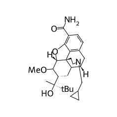 COC1[C@@H]([C@](C)(O)C(C)(C)C)CC2[C@H]3Cc4ccc(C(N)=O)c5c4[C@@]2(CCN3CC2CC2)[C@H]1O5